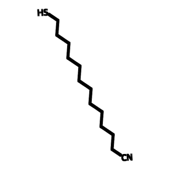 N#CCCCCCCCCCCCCS